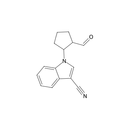 N#Cc1cn(C2CCCC2C=O)c2ccccc12